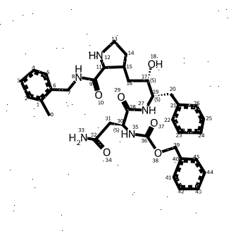 Cc1ccccc1CNC(=O)C1NCCC1C[C@H](O)[C@H](Cc1ccccc1)NC(=O)[C@H](CC(N)=O)NC(=O)OCc1ccccc1